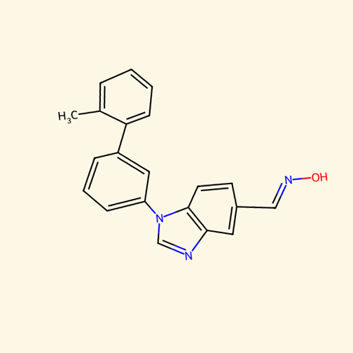 Cc1ccccc1-c1cccc(-n2cnc3cc(/C=N/O)ccc32)c1